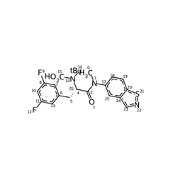 CN(C(=O)[C@H](Cc1cc(F)cc(F)c1)N(C(=O)O)C(C)(C)C)c1ccc2sncc2c1